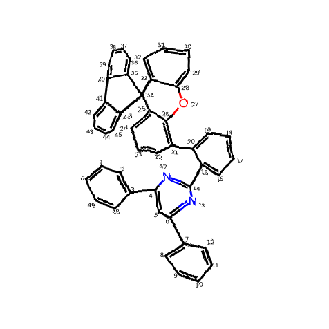 c1ccc(-c2cc(-c3ccccc3)nc(-c3ccccc3-c3cccc4c3Oc3ccccc3C43c4ccccc4-c4ccccc43)n2)cc1